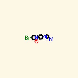 CN(C)C1CCN(c2ccc(-n3ccc(Br)cc3=O)cc2)C1